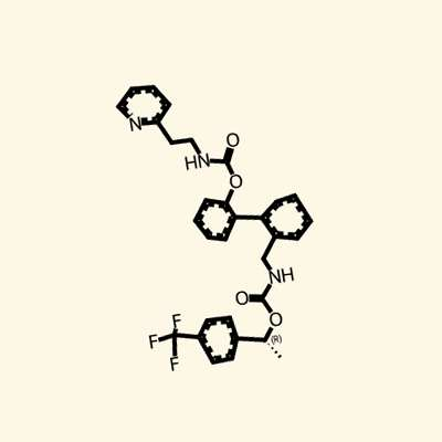 C[C@@H](OC(=O)NCc1ccccc1-c1ccccc1OC(=O)NCCc1ccccn1)c1ccc(C(F)(F)F)cc1